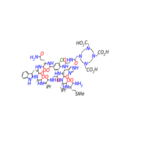 CSCC[C@H](NC(=O)[C@H](CC(C)C)NC(=O)[C@H](Cc1c[nH]cn1)NC(=O)CNC(=O)[C@@H](NC(=O)[C@H](C)NC(=O)[C@H](Cc1c[nH]c2ccccc12)NC(=O)[C@H](CCC(N)=O)NC(=O)c1ccc(NC(=O)CNC(=O)CN2CCN(CC(=O)O)CCN(CC(=O)O)CCN(CC(=O)O)CC2)c(Cl)c1)C(C)C)C(N)=O